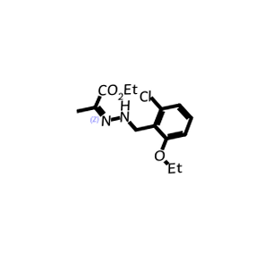 CCOC(=O)/C(C)=N\NCc1c(Cl)cccc1OCC